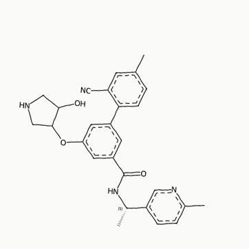 Cc1ccc(-c2cc(OC3CNCC3O)cc(C(=O)N[C@@H](C)c3ccc(C)nc3)c2)c(C#N)c1